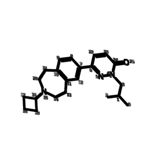 CC(C)Cn1nc(-c2ccc3c(c2)CCN(C2CCC2)CC3)ccc1=O